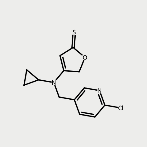 S=C1C=C(N(Cc2ccc(Cl)nc2)C2CC2)CO1